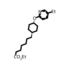 CCOC(=O)CCCCCC[C@H]1CC[C@H](Oc2ccc(CC)cn2)CC1